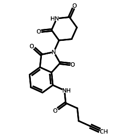 C#CCCC(=O)Nc1cccc2c1C(=O)N(C1CCC(=O)NC1=O)C2=O